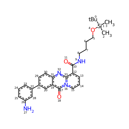 CC(C)(C)[Si](C)(C)OC[CH]CCNC(=O)c1cccn2c(=O)c3cc(-c4cccc(N)c4)ccc3nc12